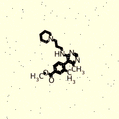 COC(=O)c1ccc(-c2c(C)ncnc2NCCCN2CCCCC2)c(C)c1